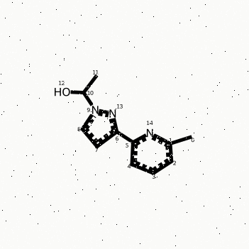 Cc1cccc(-c2ccn(C(C)O)n2)n1